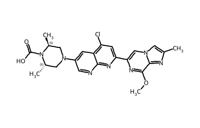 COc1nc(-c2cc(Cl)c3cc(N4C[C@H](C)N(C(=O)O)[C@@H](C)C4)cnc3n2)cn2cc(C)nc12